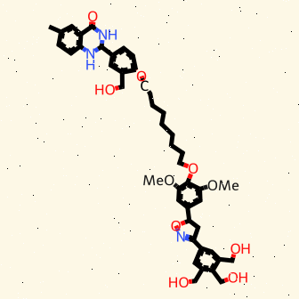 COc1cc(C2CC(c3cc(CO)c(CO)c(CO)c3)=NO2)cc(OC)c1OCCCCCCCCCOc1ccc(C2NC(=O)c3cc(C)ccc3N2)cc1CO